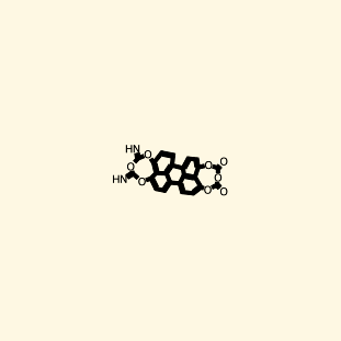 N=C1OC(=N)Oc2ccc3c4ccc5c6c(ccc(c7ccc(c2c73)O1)c64)OC(=O)OC(=O)O5